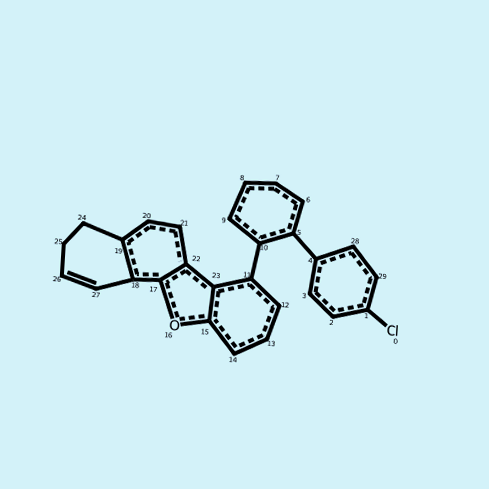 Clc1ccc(-c2ccccc2-c2cccc3oc4c5c(ccc4c23)CCC=C5)cc1